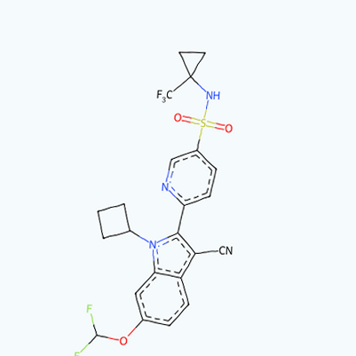 N#Cc1c(-c2ccc(S(=O)(=O)NC3(C(F)(F)F)CC3)cn2)n(C2CCC2)c2cc(OC(F)F)ccc12